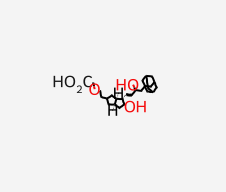 O=C(O)COCCC1C[C@@H]2C[C@H](O)[C@@H](C=CC(O)CC34CC5CC(CC(C5)C3)C4)[C@@H]2C1